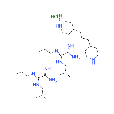 C(CC1CCNCC1)CC1CCNCC1.CCCN=C(NCC(C)C)C(=N)N.CCCN=C(NCC(C)C)C(=N)N.Cl.Cl